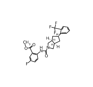 COC(=O)c1cc(F)ccc1NC(=O)N1C[C@H]2C[C@@H](c3ccccc3C(F)(F)F)C[C@H]2C1